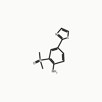 CP(C)(=O)c1cc(-c2nccs2)ccc1N